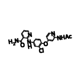 CC(=O)Nc1cc(Oc2ccc(Nc3ncccc3C(N)=O)cc2Cl)ccn1